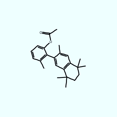 [CH2]c1cccc(OC(C)=O)c1-c1cc2c(cc1C)C(C)(C)CCC2(C)C